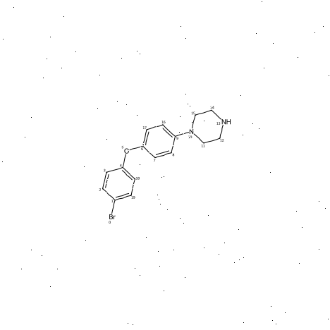 Brc1ccc(Oc2ccc(N3CCNCC3)cc2)cc1